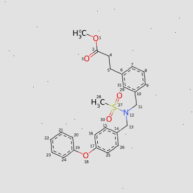 COC(=O)CCc1cccc(CN(Cc2ccc(Oc3ccccc3)cc2)S(C)(=O)=O)c1